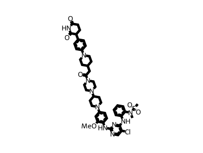 COc1cc(N2CCC(N3CCN(C(=O)CC4CCN(c5ccc(C6CCC(=O)NC6=O)cc5)CC4)CC3)CC2)ccc1Nc1ncc(Cl)c(Nc2ccccc2N(C)S(C)(=O)=O)n1